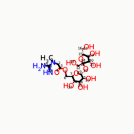 CN(CC(=O)OC[C@H]1O[C@H](O[C@]2(CO)O[C@H](CO)[C@@H](O)[C@@H]2O)[C@H](O)[C@@H](O)[C@@H]1O)C(=N)N